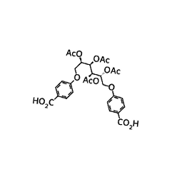 CC(=O)O[C@@H]([C@H](OC(C)=O)[C@@H](COc1ccc(C(=O)O)cc1)OC(C)=O)[C@@H](COc1ccc(C(=O)O)cc1)OC(C)=O